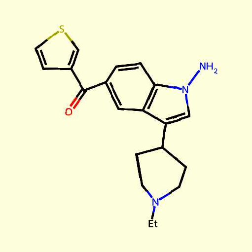 CCN1CCC(c2cn(N)c3ccc(C(=O)c4ccsc4)cc23)CC1